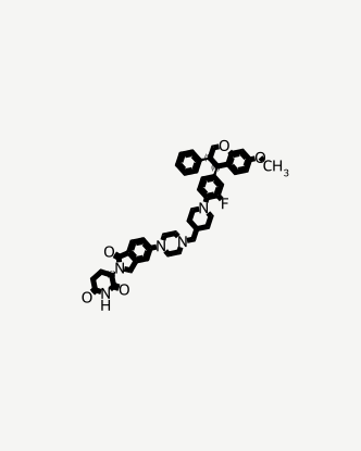 COc1ccc2c(c1)OC[C@H](c1ccccc1)[C@@H]2c1ccc(N2CCC(CN3CCN(c4ccc5c(c4)CN([C@H]4CCC(=O)NC4=O)C5=O)CC3)CC2)c(F)c1